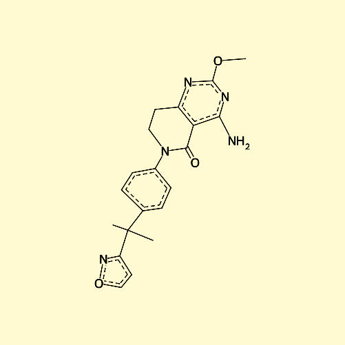 COc1nc(N)c2c(n1)CCN(c1ccc(C(C)(C)c3ccon3)cc1)C2=O